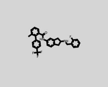 Cc1cccc(C(=O)Nc2ccc3c(c2)CC(NCc2ccccc2F)C3)c1-c1ccc(C(F)(F)F)cc1